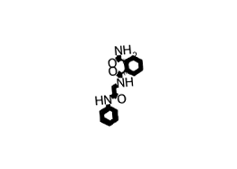 NC(=O)[C@H]1CCCC[C@H]1C(=O)NCC(=O)Nc1ccccc1